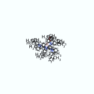 Cc1ccccc1-c1ccc2c(c1)C1(C)CCCCC1(C)N2c1cc2c3c(c1)N(c1ccc(C(C)(C)C)cc1-c1ccccc1)c1cc(C(C)(C)C)ccc1B3c1ccc(N3c4ccc(C(C)(C)C)cc4C4(C)CCCCC34C)cc1N2c1ccc(C(C)(C)C)cc1